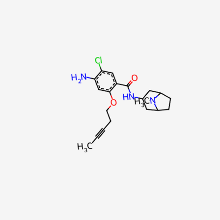 CC#CCCOc1cc(N)c(Cl)cc1C(=O)NC1CC2CCC(C1)N2C